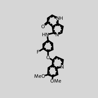 COc1cc2nccc(Oc3ccc(Nc4nccc5[nH]ccc(=O)c45)cc3F)c2cc1OC